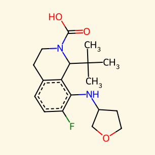 CC(C)(C)C1c2c(ccc(F)c2NC2CCOC2)CCN1C(=O)O